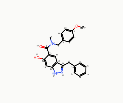 CCOc1ccc(CN(C)C(=O)c2cc3c(Cc4ccccc4)n[nH]c3cc2O)cc1